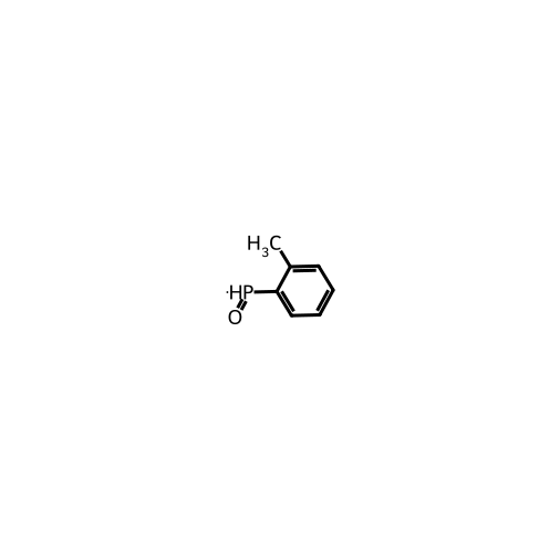 Cc1ccccc1[PH]=O